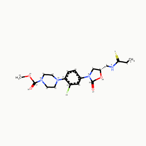 CCC(=S)NC[C@H]1CN(c2ccc(N3CCN(C(=O)OC)CC3)c(F)c2)C(=O)O1